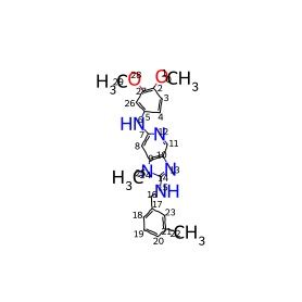 COc1ccc(Nc2cc3c(cn2)nc(NCc2cccc(C)c2)n3C)cc1OC